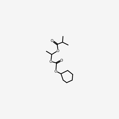 CC(OC(=O)OC1CCCCC1)OC(=O)C(C)C